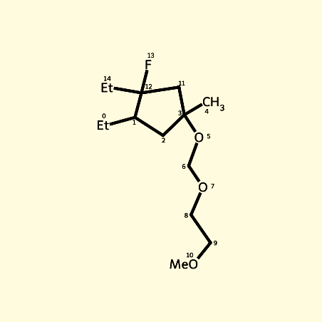 CCC1CC(C)(OCOCCOC)CC1(F)CC